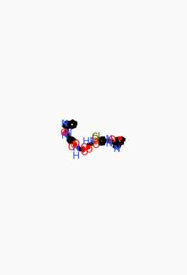 CC1(C)CCc2c(cncc2-c2nc(-c3ccc(S(=O)(=O)NCCC(=O)OC(=O)CCNS(=O)(=O)c4ccc(-c5noc(-c6cncc7c6CCC(C)(C)C7)n5)cc4Cl)cc3)no2)C1